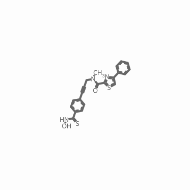 CN(CC#Cc1ccc(C(=S)NO)cc1)C(=O)c1nc(-c2ccccc2)cs1